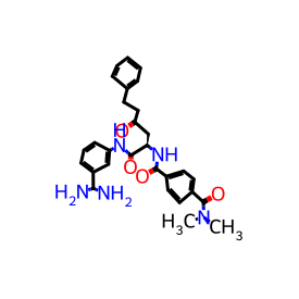 CN(C)C(=O)c1ccc(C(=O)N[C@H](CC(=O)CCc2ccccc2)C(=O)Nc2cccc(C(N)N)c2)cc1